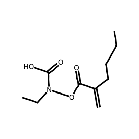 C=C(CCCC)C(=O)ON(CC)C(=O)O